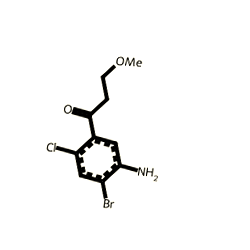 COCCC(=O)c1cc(N)c(Br)cc1Cl